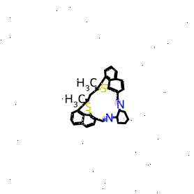 CC12CC3(C)Sc4c(ccc5cccc3c45)/C=N/C3CCCCC3/N=C/c3ccc4cccc1c4c3S2